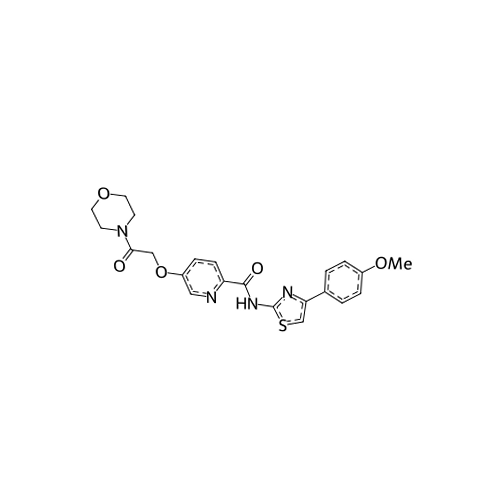 COc1ccc(-c2csc(NC(=O)c3ccc(OCC(=O)N4CCOCC4)cn3)n2)cc1